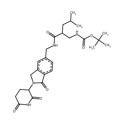 CC(C)CC(CNC(=O)OC(C)(C)C)C(=O)NCc1ccc2c(c1)CN(C1CCC(=O)NC1=O)C2=O